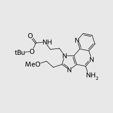 COCCc1nc2c(N)nc3cccnc3c2n1CCNC(=O)OC(C)(C)C